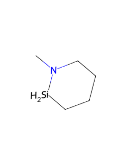 CN1CCCC[SiH2]1